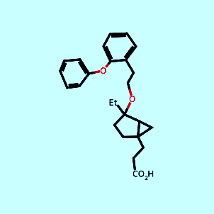 CCC1(OCCc2ccccc2Oc2ccccc2)CCC2(CCC(=O)O)CC21